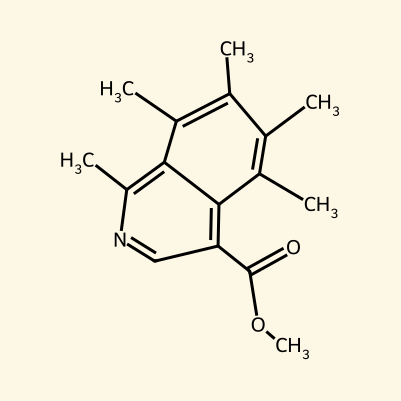 COC(=O)c1cnc(C)c2c(C)c(C)c(C)c(C)c12